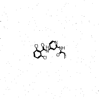 O=C(CF)Nc1cc(NC(=O)c2c(Cl)cccc2Cl)ccn1